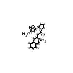 Cc1cc([C@@H]2CCCN2C(=O)CC(N)Cc2ccccc2F)on1